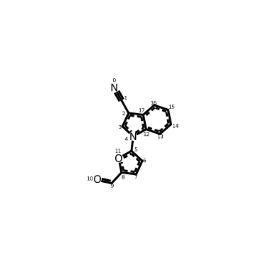 N#Cc1cn(-c2ccc(C=O)o2)c2ccccc12